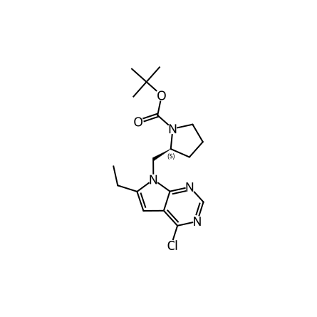 CCc1cc2c(Cl)ncnc2n1C[C@@H]1CCCN1C(=O)OC(C)(C)C